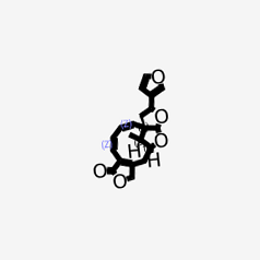 C[C@@H]1[C@H]2CC3=C(/C=C\C=C/[C@@]14CC(c1ccoc1)OC4O2)C(=O)OC3